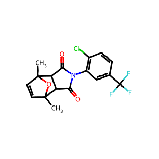 CC12C=CC(C)(O1)C1C(=O)N(c3cc(C(F)(F)F)ccc3Cl)C(=O)C12